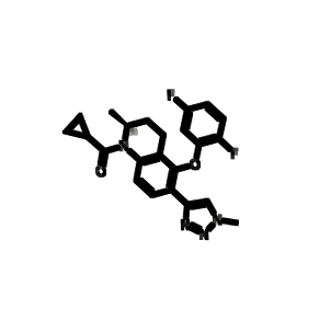 C[C@H]1CCc2c(ccc(-c3cn(C)nn3)c2Oc2cc(F)ccc2F)N1C(=O)C1CC1